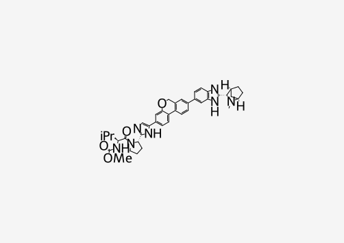 COC(=O)N[C@H](C(=O)N1CCC[C@H]1c1ncc(-c2ccc3c(c2)OCc2cc(-c4ccc5nc([C@@H]6[C@H]7CC[C@H](C7)N6C)[nH]c5c4)ccc2-3)[nH]1)C(C)C